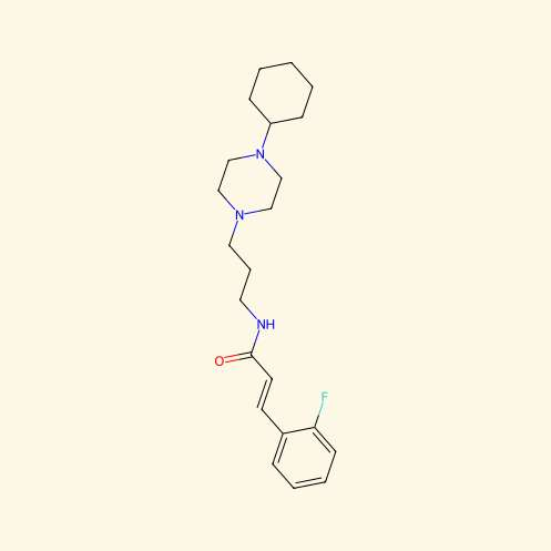 O=C(C=Cc1ccccc1F)NCCCN1CCN(C2CCCCC2)CC1